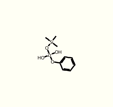 C[Si](C)(C)[O][Zr]([OH])([OH])[O]c1ccccc1